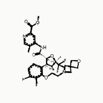 COC(=O)c1cc(NC(=O)[C@@H]2O[C@@](C)(C(F)(F)F)[C@@H](C)[C@H]2c2ccc(F)c(F)c2OCCN2CC3(COC3)C2)c(C)cn1